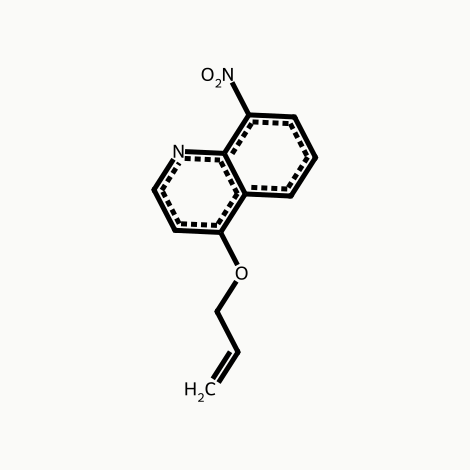 C=CCOc1ccnc2c([N+](=O)[O-])cccc12